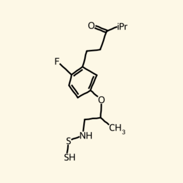 CC(CNSS)Oc1ccc(F)c(CCC(=O)C(C)C)c1